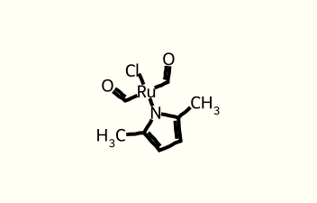 Cc1ccc(C)[n]1[Ru]([Cl])([CH]=O)[CH]=O